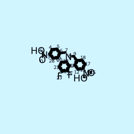 O=[N+](O)c1ccc(CN(Cc2ccc([N+](=O)O)cc2)c2ccc(F)c(F)c2)cc1